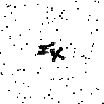 O=C([O-])[O-].[K+].[Mn+2].[O]=[Mn](=[O])(=[O])[O-]